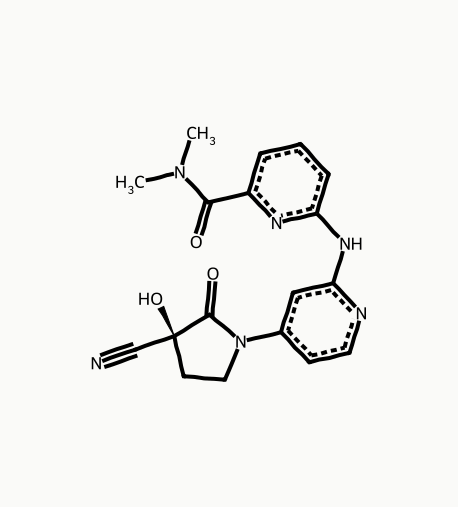 CN(C)C(=O)c1cccc(Nc2cc(N3CC[C@](O)(C#N)C3=O)ccn2)n1